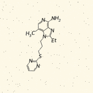 CCc1nc2c(N)ncc(C)c2n1CCCSc1ncccn1